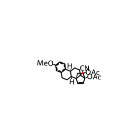 COc1ccc2c(c1)CC[C@@H]1[C@@H]2CC[C@]2(C)[C@@]3(OC(C)=O)C=C[C@]12C[C@]3(C#N)OC(C)=O